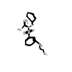 CC(C)N(OC1CCCC1)S(=O)(=O)c1cccc(NCCN)c1